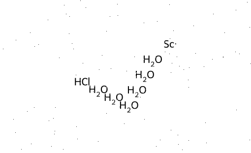 Cl.O.O.O.O.O.O.[Sc]